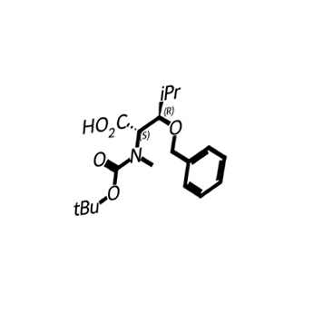 CC(C)[C@@H](OCc1ccccc1)[C@@H](C(=O)O)N(C)C(=O)OC(C)(C)C